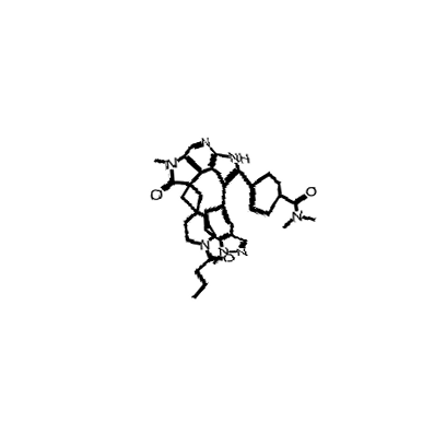 CCCC(=O)N1CCC2(CC1)CC1(C2)C(=O)N(C)c2cnc3[nH]c(C4=CCC(C(=O)N(C)C)CC4)c(-c4ccc5c(cnn5C)c4)c3c21